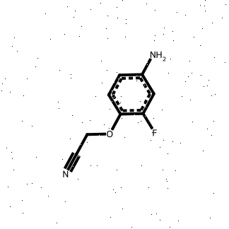 N#CCOc1ccc(N)cc1F